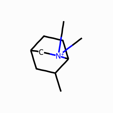 CC1CC2CCC1[N+](C)(C)C2